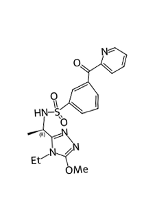 CCn1c(OC)nnc1[C@@H](C)NS(=O)(=O)c1cccc(C(=O)c2ccccn2)c1